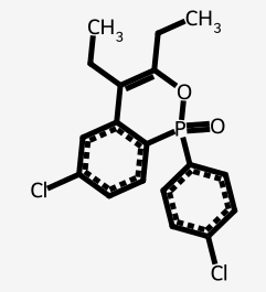 CCC1=C(CC)c2cc(Cl)ccc2P(=O)(c2ccc(Cl)cc2)O1